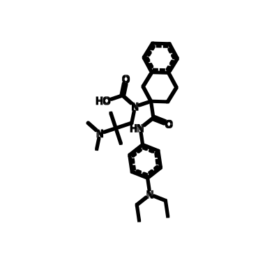 CCN(CC)c1ccc(NC(=O)C2(N(CC(C)(C)N(C)C)C(=O)O)CCc3ccccc3C2)cc1